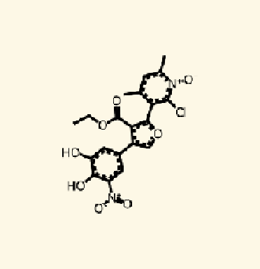 CCOC(=O)c1c(-c2cc(O)c(O)c([N+](=O)[O-])c2)coc1-c1c(C)cc(C)[n+]([O-])c1Cl